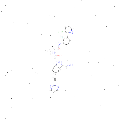 NCc1nn(CC(=O)N2C[C@H](F)C[C@H]2C(=O)Nc2cccc(-c3ncccc3Cl)c2F)c2ccc(C#Cc3ncccn3)cc12